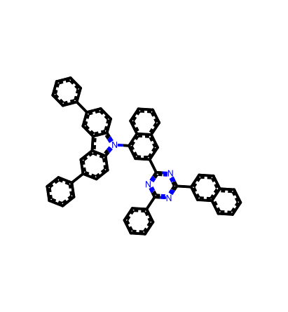 c1ccc(-c2ccc3c(c2)c2cc(-c4ccccc4)ccc2n3-c2cc(-c3nc(-c4ccccc4)nc(-c4ccc5ccccc5c4)n3)cc3ccccc23)cc1